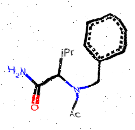 CC(=O)N(Cc1ccccc1)C(C(N)=O)C(C)C